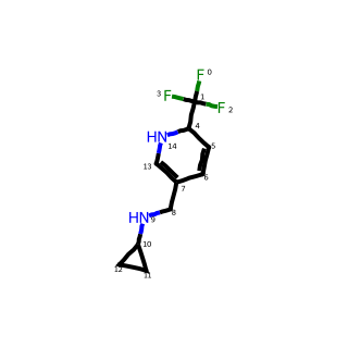 FC(F)(F)C1C=CC(CNC2CC2)=CN1